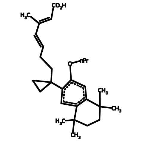 CCCOc1cc2c(cc1C1(CCC=CC(C)=CC(=O)O)CC1)C(C)(C)CCC2(C)C